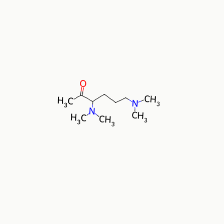 CC(=O)C(CCCN(C)C)N(C)C